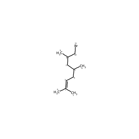 CC(C)=CCC(C)CC(C)CBr